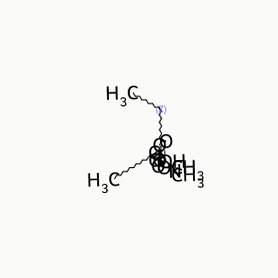 CCCCCCCC/C=C\CCCCCCCC(=O)OC[C@H](COP(=O)(O)OCCN(C)C)OC(=O)CCCCCCCCCCCC